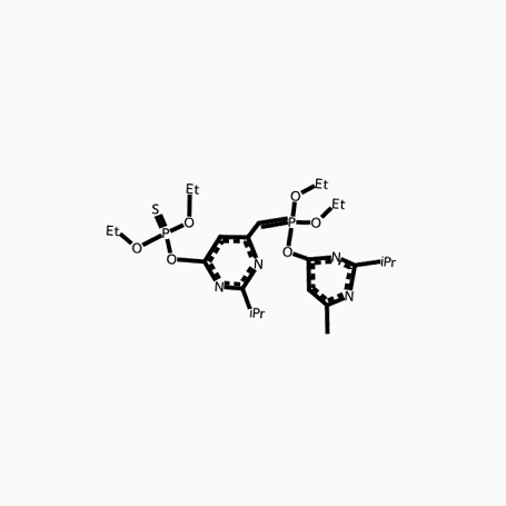 CCOP(=S)(OCC)Oc1cc(C=P(OCC)(OCC)Oc2cc(C)nc(C(C)C)n2)nc(C(C)C)n1